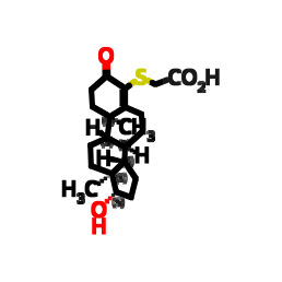 C[C@]12CC[C@H]3[C@@H](CCC4=C(SCC(=O)O)C(=O)CC[C@@]43C)[C@@H]1CC[C@@H]2O